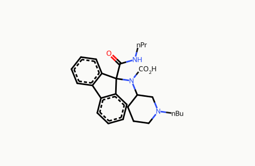 CCCCN1CCCC(N(C(=O)O)C2(C(=O)NCCC)c3ccccc3-c3ccccc32)C1